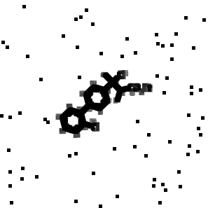 CCOC(=O)C(C)C(C)(Cl)c1ccc(-c2ccccc2Cl)cc1